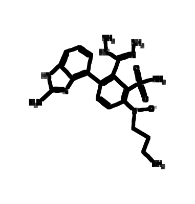 NCCC[S+]([O-])c1ccc(-c2cccc3[nH]c(N)nc23)c(/C(=N/N)NN)c1S(N)(=O)=O